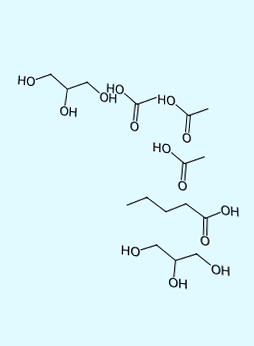 CC(=O)O.CC(=O)O.CC(=O)O.CCCCC(=O)O.OCC(O)CO.OCC(O)CO